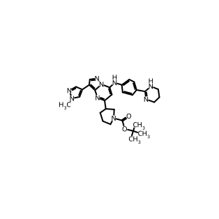 Cn1cc(-c2cnn3c(Nc4ccc(C5=NCCCN5)cc4)cc(C4CCCN(C(=O)OC(C)(C)C)C4)nc23)cn1